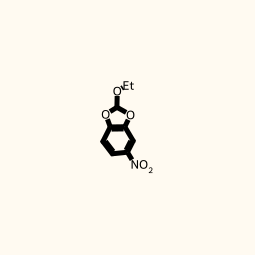 CCOC1Oc2ccc([N+](=O)[O-])cc2O1